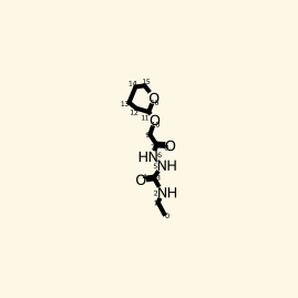 CCNC(=O)NNC(=O)COC1CCCCO1